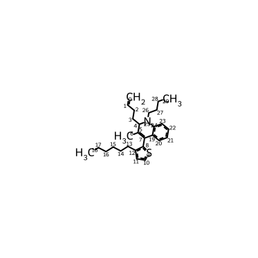 C=CCCC1C(C)=C(c2sccc2CCCCCC)c2ccccc2N1CCCC